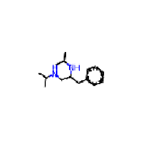 CC(C)NCC(Cc1ccccc1)NC(C)C